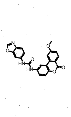 COc1ccc2c(=O)oc3ccc(NC(=O)Nc4ccc5ncoc5c4)cc3c2c1